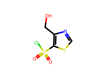 O=S(=O)(Cl)c1scnc1CO